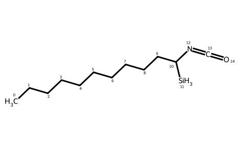 CCCCCCCCCCC([SiH3])N=C=O